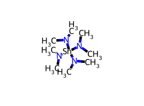 C[N](C)[Sn]([N](C)C)([N](C)C)[N](C)C